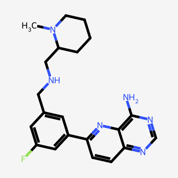 CN1CCCCC1CNCc1cc(F)cc(-c2ccc3ncnc(N)c3n2)c1